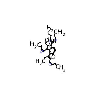 C=C/C=C\c1oc2ccc3c(c(/C=C\C=C)c(C=C)n3C(=C/C=C)/N=C\C=C)c2c1C=C